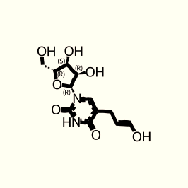 O=c1[nH]c(=O)n([C@@H]2O[C@H](CO)[C@@H](O)[C@H]2O)cc1CC=CO